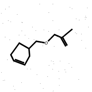 C=C(C)COCC1CC=CCC1